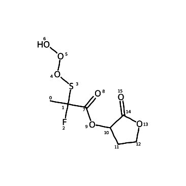 CC(F)(SOOO)C(=O)OC1CCOC1=O